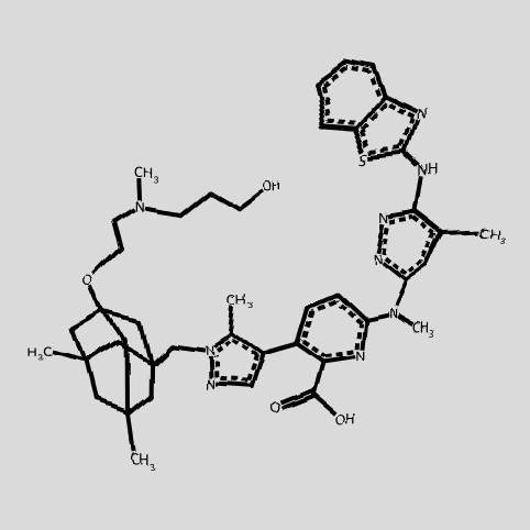 Cc1cc(N(C)c2ccc(-c3cnn(CC45CC6(C)CC(C)(C4)CC(OCCN(C)CCCO)(C6)C5)c3C)c(C(=O)O)n2)nnc1Nc1nc2ccccc2s1